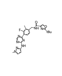 Cc1c(CNC(=O)c2coc(C(C)(C)C)n2)ccc(-c2ncnc(Nc3ccn(C)n3)n2)c1F